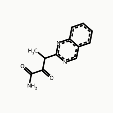 CC(C(=O)C(N)=O)c1ncc2ccccc2n1